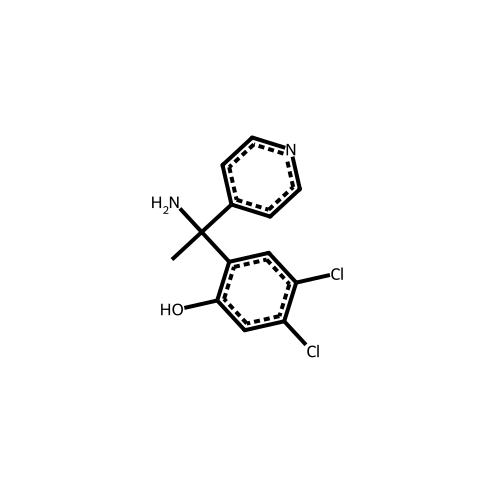 CC(N)(c1ccncc1)c1cc(Cl)c(Cl)cc1O